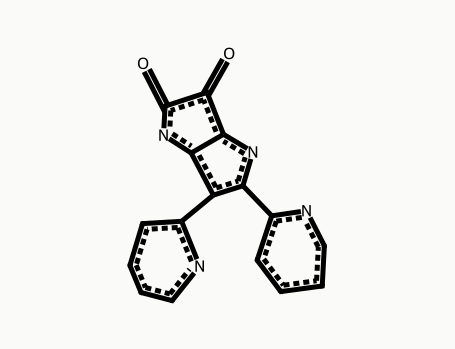 O=c1nc2c(-c3ccccn3)c(-c3ccccn3)nc-2c1=O